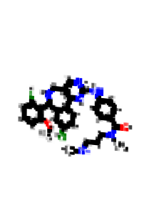 CNCCCN(C)C(=O)c1ccc(Nc2ncc3c(n2)-c2ccc(Cl)cc2C(c2c(F)cccc2OC)=NC3)cc1